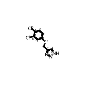 Clc1ccc(SCc2c[nH]nn2)cc1Cl